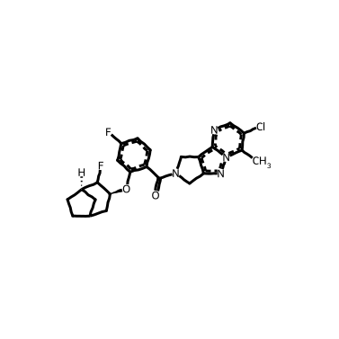 Cc1c(Cl)cnc2c3c(nn12)CN(C(=O)c1ccc(F)cc1O[C@H]1CC2CC[C@H](C2)C1F)C3